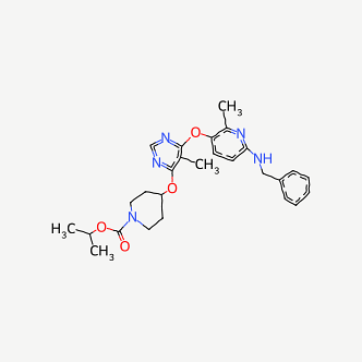 Cc1nc(NCc2ccccc2)ccc1Oc1ncnc(OC2CCN(C(=O)OC(C)C)CC2)c1C